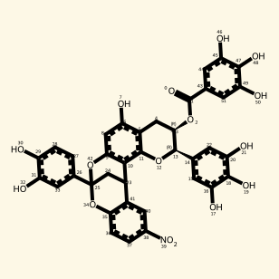 O=C(O[C@@H]1Cc2c(O)cc3c(c2O[C@@H]1c1cc(O)c(O)c(O)c1)C1CC(c2ccc(O)c(O)c2)(Oc2ccc([N+](=O)[O-])cc21)O3)c1cc(O)c(O)c(O)c1